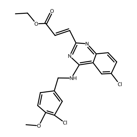 CCOC(=O)/C=C/c1nc(NCc2ccc(OC)c(Cl)c2)c2cc(Cl)ccc2n1